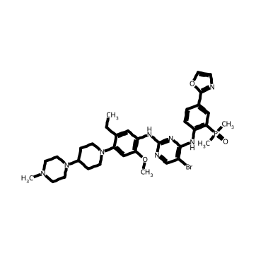 CCc1cc(Nc2ncc(Br)c(Nc3ccc(-c4ncco4)cc3P(C)(C)=O)n2)c(OC)cc1N1CCC(N2CCN(C)CC2)CC1